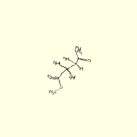 [2H]C([2H])(C(C)=O)C([2H])([2H])C(=O)OC